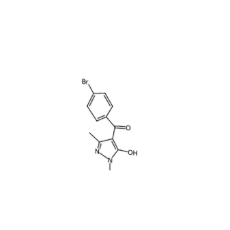 Cc1nn(C)c(O)c1C(=O)c1ccc(Br)cc1